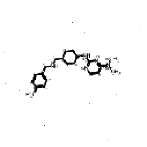 Cc1ccc(CNCC2CCC(Nc3nccc(N(C)C)n3)CC2)cc1